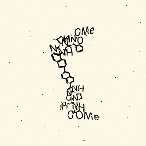 COC(=O)N[C@H](C(=O)N1CCC[C@H]1c1ncc(-c2ccc3cc(-c4ccc5c(ccc6nc([C@@H]7[C@@H](C)C[C@@H](C)N7C(=O)[C@H](NC(=O)OC)c7ccccc7)[nH]c65)c4)ccc3c2)[nH]1)C(C)C